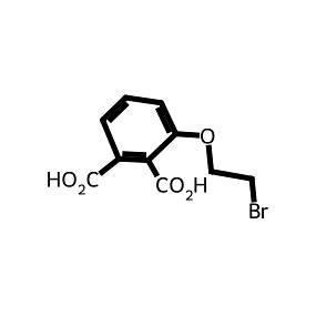 O=C(O)c1cccc(OCCBr)c1C(=O)O